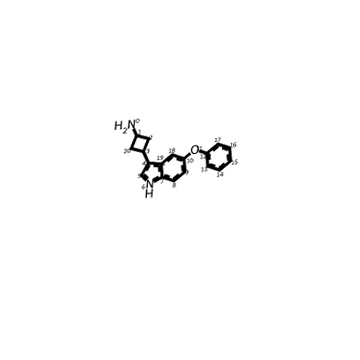 NC1CC(c2c[nH]c3ccc(Oc4ccccc4)cc23)C1